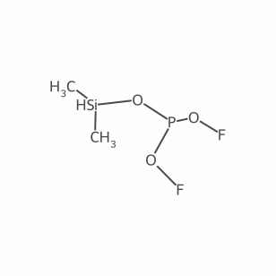 C[SiH](C)OP(OF)OF